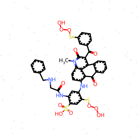 Cn1c(=O)c(C(=O)c2cccc(SOOO)c2)c2c3c(c(Nc4cc(NC(=O)CNCc5ccccc5)c(S(=O)(=O)O)cc4SOOO)ccc31)C(=O)c1ccccc1-2